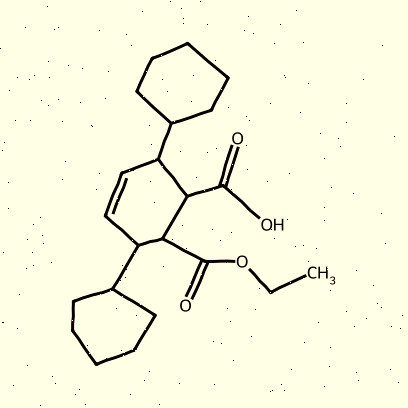 CCOC(=O)C1C(C2CCCCC2)C=CC(C2CCCCC2)C1C(=O)O